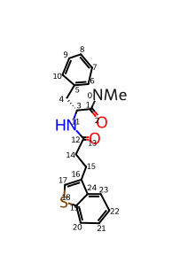 CNC(=O)[C@@H](Cc1ccccc1)NC(=O)CCc1csc2ccccc12